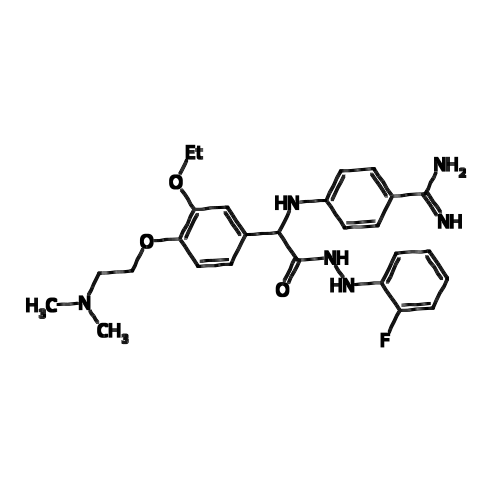 CCOc1cc(C(Nc2ccc(C(=N)N)cc2)C(=O)NNc2ccccc2F)ccc1OCCN(C)C